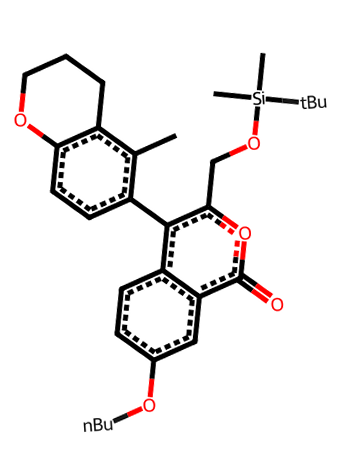 CCCCOc1ccc2c(-c3ccc4c(c3C)CCCO4)c(CO[Si](C)(C)C(C)(C)C)oc(=O)c2c1